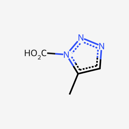 Cc1cnnn1C(=O)O